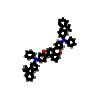 CC1(C)c2ccccc2-c2ccc(N(c3ccccc3)c3ccc4c(c3)Oc3cccc5c3c-4cc3oc4cc(N(c6ccccc6)c6ccc7c(c6)C(C)(C)c6ccccc6-7)ccc4c35)cc21